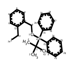 CC(C)(C)[Si](OCc1ccccc1CI)(c1ccccc1)c1ccccc1